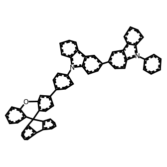 c1ccc(-n2c3ccccc3c3cc(-c4ccc5c(c4)c4ccccc4n5-c4ccc(-c5ccc6c(c5)Oc5ccccc5C65c6ccccc6-c6ccccc65)cc4)ccc32)cc1